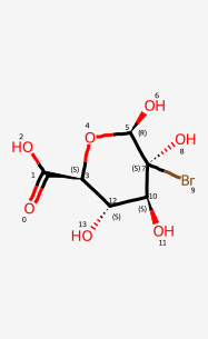 O=C(O)[C@H]1O[C@@H](O)[C@@](O)(Br)[C@@H](O)[C@@H]1O